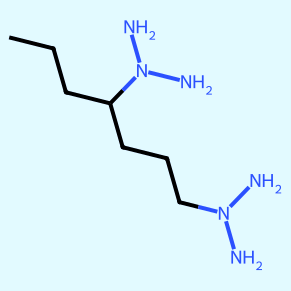 CCCC(CCCN(N)N)N(N)N